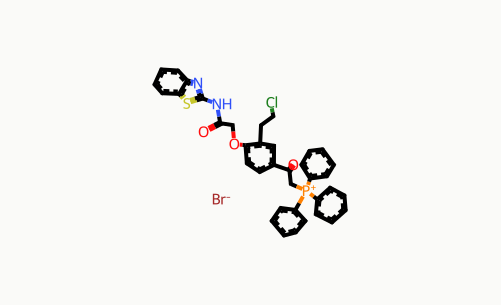 O=C(COc1ccc(C(=O)C[P+](c2ccccc2)(c2ccccc2)c2ccccc2)cc1CCCl)Nc1nc2ccccc2s1.[Br-]